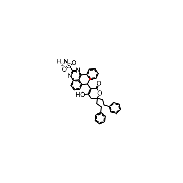 CCC(C1=C(O)CC(CCc2ccccc2)(CCc2ccccc2)OC1=O)c1cccc2nc(S(N)(=O)=O)nc(-c3ccccc3)c12